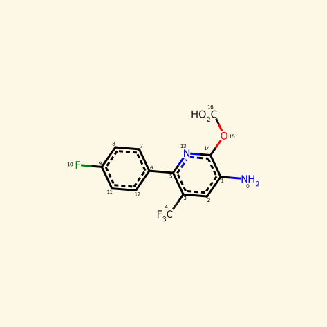 Nc1cc(C(F)(F)F)c(-c2ccc(F)cc2)nc1OC(=O)O